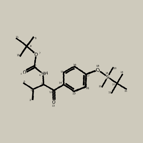 CC(C)C(NC(=O)OC(C)(C)C)C(=O)c1ccc(O[Si](C)(C)C(C)(C)C)cc1